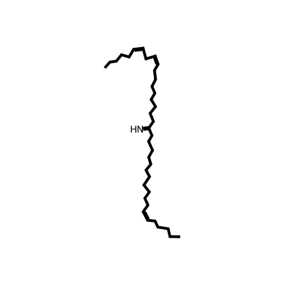 CCCCC/C=C\C/C=C\CCCCCCCCC(=N)CCCCCCCCCCC/C=C\CCCCC